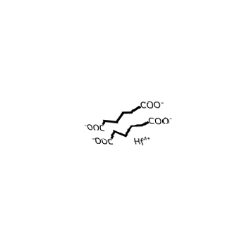 O=C([O-])CCCCC(=O)[O-].O=C([O-])CCCCC(=O)[O-].[Hf+4]